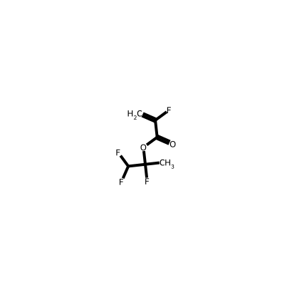 C=C(F)C(=O)OC(C)(F)C(F)F